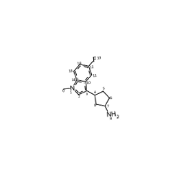 Cn1cc(C2CCC(N)C2)c2cc(F)ccc21